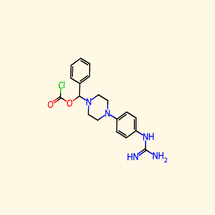 N=C(N)Nc1ccc(N2CCN(C(OC(=O)Cl)c3ccccc3)CC2)cc1